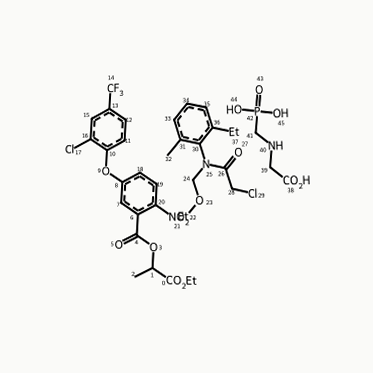 CCOC(=O)C(C)OC(=O)c1cc(Oc2ccc(C(F)(F)F)cc2Cl)ccc1[N+](=O)[O-].CCOCN(C(=O)CCl)c1c(C)cccc1CC.O=C(O)CNCP(=O)(O)O